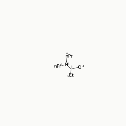 CCCN(CCC)C([O])CC